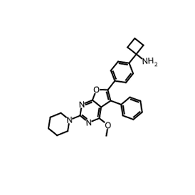 COc1nc(N2CCCCC2)nc2oc(-c3ccc(C4(N)CCC4)cc3)c(-c3ccccc3)c12